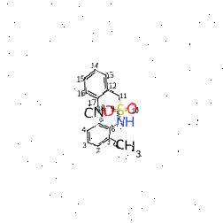 Cc1ccccc1NS(=O)(=O)Cc1ccccc1C#N